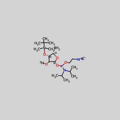 [2H]OC1[C@@H](OP(OCC[N+]#[C-])N(C(C)C)C(C)C)O[C@@H](B)[C@H]1O[Si](C)(C)C(C)(C)C